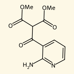 COC(=O)C(C(=O)OC)C(=O)c1cccnc1N